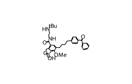 COc1c(CCCCc2ccc(C(=O)c3ccccc3)cc2)cc(C(=O)NCCNC(C)(C)C)c2c1B(O)OC2